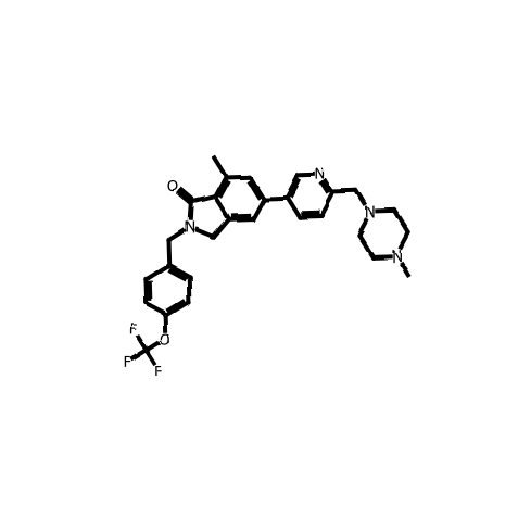 Cc1cc(-c2ccc(CN3CCN(C)CC3)nc2)cc2c1C(=O)N(Cc1ccc(OC(F)(F)F)cc1)C2